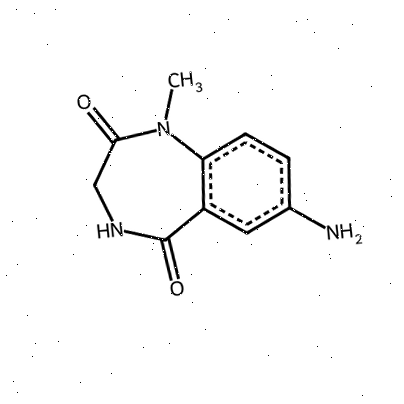 CN1C(=O)CNC(=O)c2cc(N)ccc21